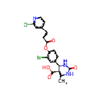 CC1=C(C(=O)O)C(c2ccc(OC(=O)C=Cc3ccnc(Cl)c3)c(Br)c2)NC(=O)N1